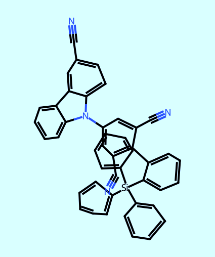 N#Cc1ccc2c(c1)c1ccccc1n2-c1cc(C#N)c(-c2ccccc2[Si](c2ccccc2)(c2ccccc2)c2ccccc2)c(C#N)c1